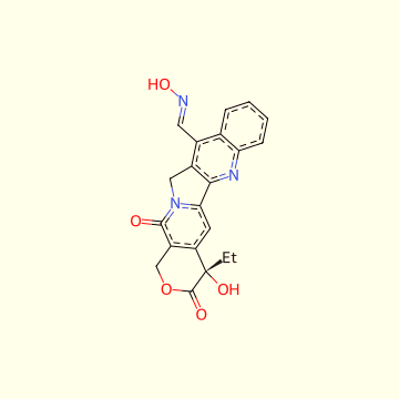 CC[C@@]1(O)C(=O)OCc2c1cc1n(c2=O)Cc2c-1nc1ccccc1c2C=NO